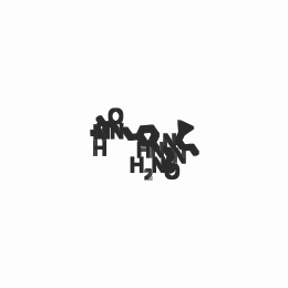 CCc1nc(C(N)=O)c(Nc2cccc(CCNC(=O)C(C)NC)c2)nc1C1CC1